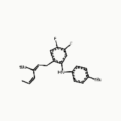 C/C=C\C(=C/Cc1cc(F)c(F)cc1Nc1ccc(C(C)(C)C)cc1)C(C)(C)C